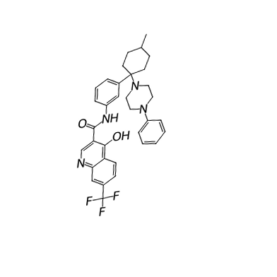 CC1CCC(c2cccc(NC(=O)c3cnc4cc(C(F)(F)F)ccc4c3O)c2)(N2CCN(c3ccccc3)CC2)CC1